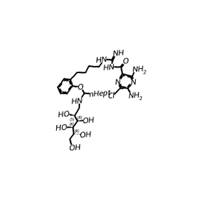 CCCCCCCC(NC[C@H](O)[C@@H](O)[C@H](O)[C@H](O)CO)Oc1ccccc1CCCCNC(=N)NC(=O)c1nc(Cl)c(N)nc1N